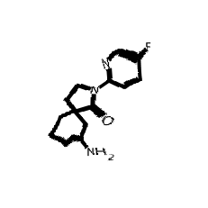 NC1CCCC2(CCN(c3ccc(F)cn3)C2=O)C1